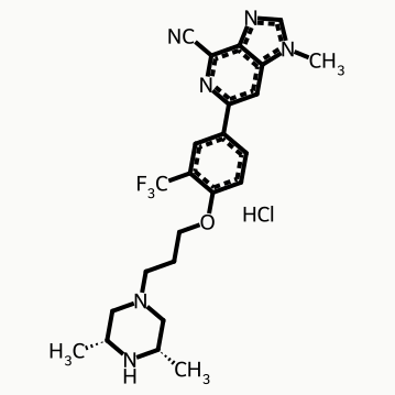 C[C@@H]1CN(CCCOc2ccc(-c3cc4c(ncn4C)c(C#N)n3)cc2C(F)(F)F)C[C@H](C)N1.Cl